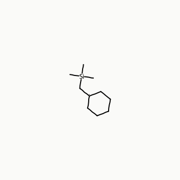 C[Si](C)(C)C[C]1CCCCC1